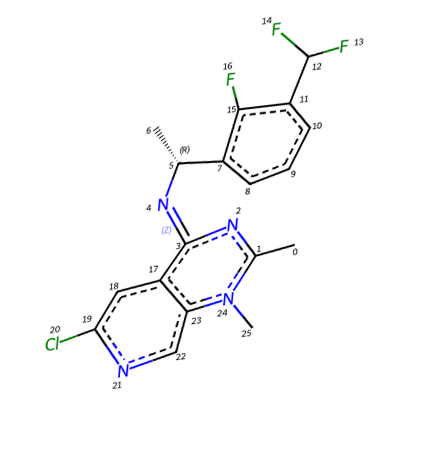 Cc1n/c(=N\[C@H](C)c2cccc(C(F)F)c2F)c2cc(Cl)ncc2n1C